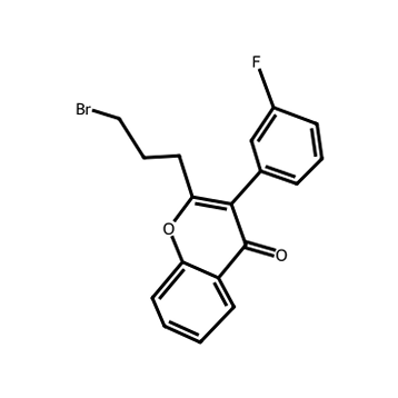 O=c1c(-c2cccc(F)c2)c(CCCBr)oc2ccccc12